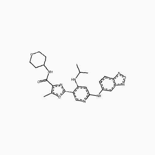 Cc1oc(-c2cnc(Nc3ccc4nsnc4c3)cc2NC(C)C)nc1C(=O)NC1CCOCC1